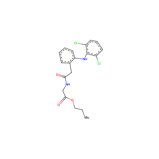 CC(C)(C)CCOC(=O)CNC(=O)Cc1ccccc1Nc1c(Cl)cccc1Cl